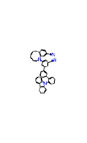 N#Cc1cc(-c2cccc(-c3ccccc3-n3c4c(c5ccccc53)CCC=C4)c2)cc(N2C/C=C\C=C/Cc3ccc(C#N)cc32)c1